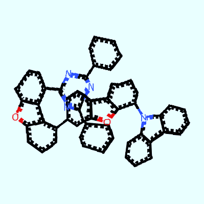 c1ccc(-c2nc(-c3ccccc3)nc(-c3cccc4oc5cccc(-c6ccc7c(c6)oc6c(-n8c9ccccc9c9ccccc98)cccc67)c5c34)n2)cc1